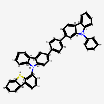 c1ccc(-n2c3ccccc3c3ccc(-c4ccc(-c5ccc6c(c5)c5ccccc5n6-c5cccc6c5sc5ccccc56)cc4)cc32)cc1